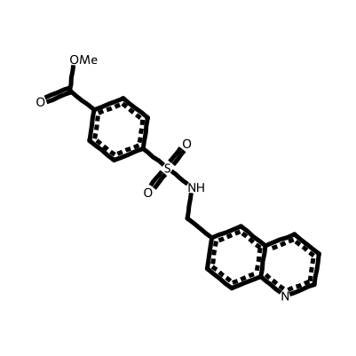 COC(=O)c1ccc(S(=O)(=O)NCc2ccc3ncccc3c2)cc1